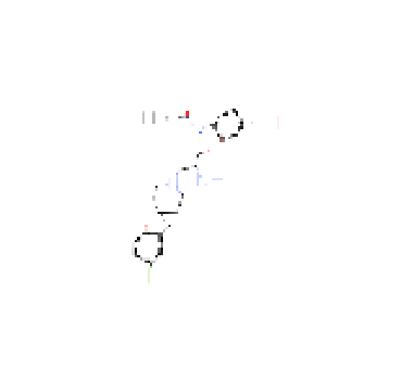 CC(=O)Nc1ccc(O)cc1OC[C@@H](N)CN1CCC2(CC1)Cc1cc(F)ccc1O2